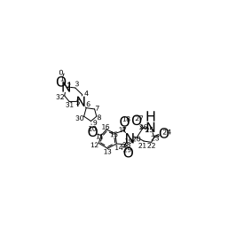 CON1CCN([C@@H]2CC[C@H](Oc3ccc4c(c3)C(=O)N(C3CCC(=O)NC3=O)C4=O)C2)CC1